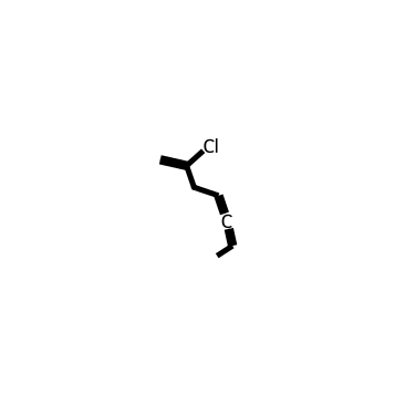 C=C(Cl)CC=C=CC